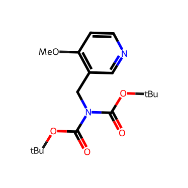 COc1ccncc1CN(C(=O)OC(C)(C)C)C(=O)OC(C)(C)C